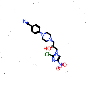 N#Cc1ccc(N2CCN(C[C@H](O)Cn3cc([N+](=O)[O-])nc3Cl)CC2)cc1